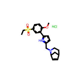 CCS(=O)(=O)c1ccc(OC)c(-c2ccc(CN3CCC4C=CC3C4)[nH]2)c1.Cl